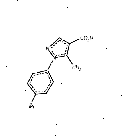 CC(C)c1ccc(-n2ncc(C(=O)O)c2N)cc1